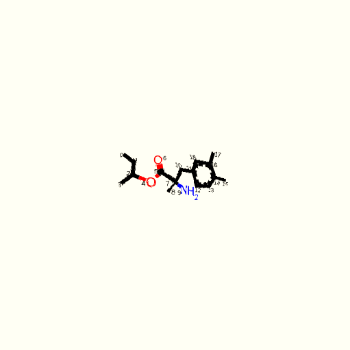 CCC(C)OC(=O)[C@@](C)(N)Cc1ccc(C)c(C)c1